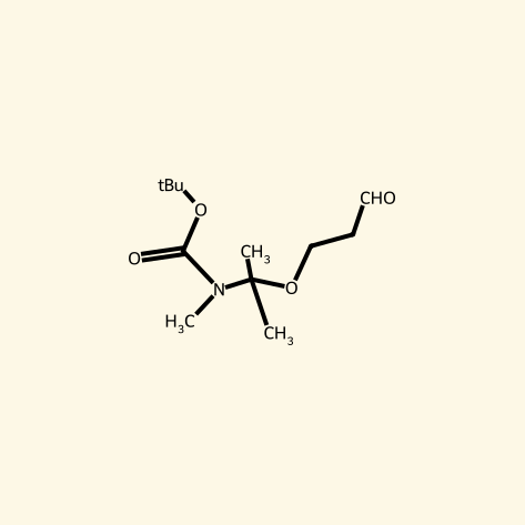 CN(C(=O)OC(C)(C)C)C(C)(C)OCCC=O